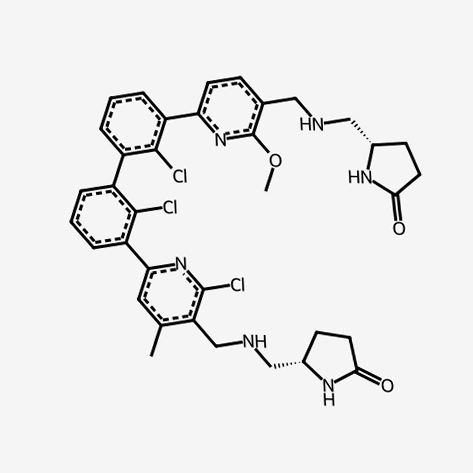 COc1nc(-c2cccc(-c3cccc(-c4cc(C)c(CNC[C@@H]5CCC(=O)N5)c(Cl)n4)c3Cl)c2Cl)ccc1CNC[C@@H]1CCC(=O)N1